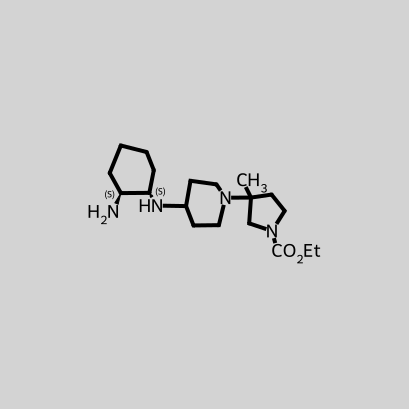 CCOC(=O)N1CCC(C)(N2CCC(N[C@H]3CCCC[C@@H]3N)CC2)C1